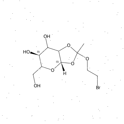 CC1(OCCBr)OC2C(O)[C@H](O)C(CO)O[C@H]2O1